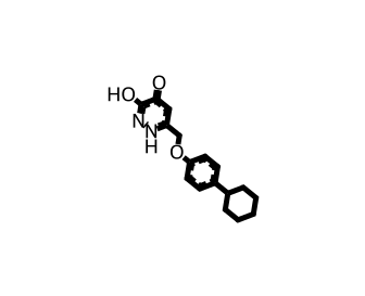 O=c1cc(COc2ccc(C3CCCCC3)cc2)[nH]nc1O